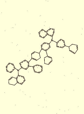 C1=CCCC(c2cc(N(c3ccc(C4C=CC=CC4)cc3)c3cccc4ccccc34)ccc2C2C=CC(c3ccc(N(c4ccccc4)c4cccc5c4C=CCC5)cc3-c3ccccc3)=CC2)=C1